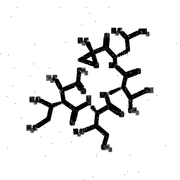 CCC(C)[C@H](NC(=O)[C@H](C(C)CC)N(C)C(C)=O)C(=O)N[C@H](C(=O)N[C@@H](CC(C)C)C(=O)[C@@]1(C)CO1)C(C)O